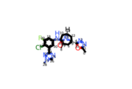 Cc1nnc([C@@]23C[C@@H](C)CC[C@@H](C2)N3C(=O)Nc2cc(F)c(Cl)c(-c3ncn(C)n3)c2)o1